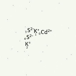 [Cd+2].[K+].[K+].[S-2].[S-2]